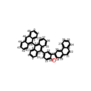 c1ccc2c(-c3c4ccccc4c(-c4ccc5oc6cc7ccc8ccccc8c7cc6c5c4)c4ccccc34)c3ccccc3cc2c1